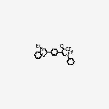 CCN(/C=C(\C(C)=O)c1ccc(/C(=C/N(CC)c2ccccc2)C(=O)C(F)(F)F)cc1)c1ccccc1